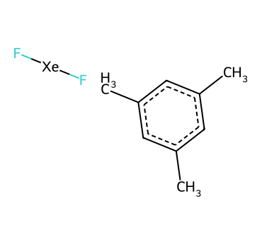 Cc1cc(C)cc(C)c1.F[Xe]F